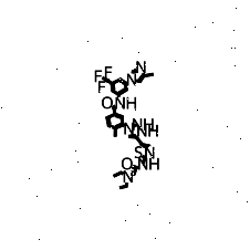 CCN(CC)CC(=O)Nc1ncc(C2=CN(c3cc(C(=O)Nc4cc(-n5cnc(C)c5)cc(C(F)(F)F)c4)ccc3C)NN2)s1